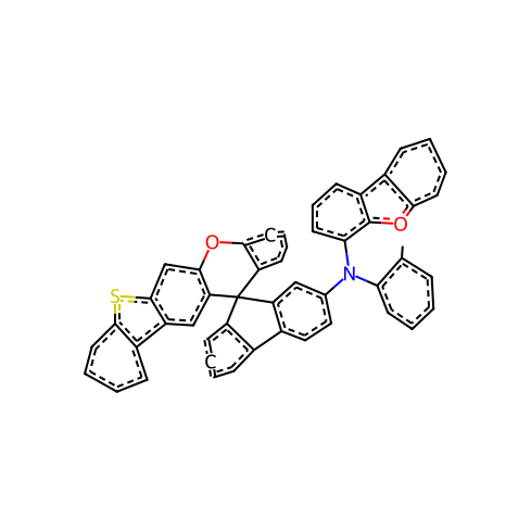 Cc1ccccc1N(c1ccc2c(c1)C1(c3ccccc3Oc3cc4sc5ccccc5c4cc31)c1ccccc1-2)c1cccc2c1oc1ccccc12